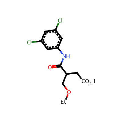 CCOCC(CC(=O)O)C(=O)Nc1cc(Cl)cc(Cl)c1